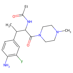 CCC(=O)NC(C(=O)N1CCN(C)CC1)C(C)c1ccc(N)c(F)c1